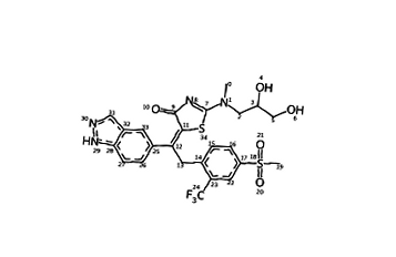 CN(CC(O)CO)C1=NC(=O)C(=C(Cc2ccc(S(C)(=O)=O)cc2C(F)(F)F)c2ccc3[nH]ncc3c2)S1